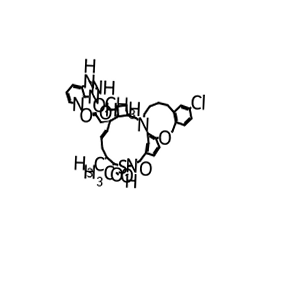 CO[C@@]1(CC(=O)ON2NNc3cccnc32)/C=C/C[C@H](C)[C@@H](C)S(=O)(=O)NC(=O)c2ccc3c(c2)N(CCCCc2cc(Cl)ccc2CO3)C[C@@H]2CC[C@H]21